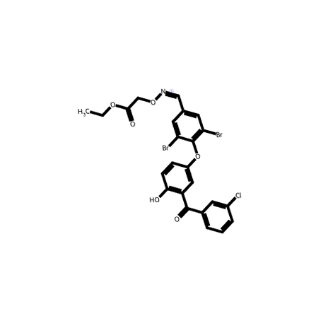 CCOC(=O)CO/N=C\c1cc(Br)c(Oc2ccc(O)c(C(=O)c3cccc(Cl)c3)c2)c(Br)c1